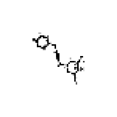 O=C1CN(CC#CCc2ccccc2)CC(=O)N1